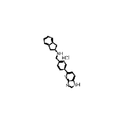 Cl.c1ccc2c(c1)CC(NCc1ccc(-c3ccc4[nH]cnc4n3)cc1)C2